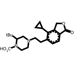 CC(C)(C)C1CN(CCc2ccc3c(c2C2CC2)COC3=O)CCN1C(=O)O